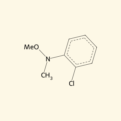 CON(C)c1ccccc1Cl